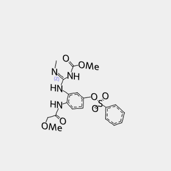 C/N=C(\NC(=O)OC)Nc1cc(OS(=O)(=O)c2ccccc2)ccc1NC(=O)COC